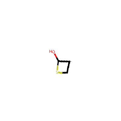 O[C]1[CH]CS1